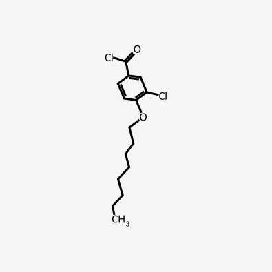 CCCCCCCCOc1ccc(C(=O)Cl)cc1Cl